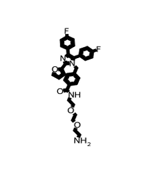 NCCOCCOCCNC(=O)c1ccc(Cn2c(-c3ccco3)nc(-c3ccc(F)cc3)c2-c2ccc(F)cc2)cc1